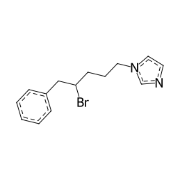 BrC(CCCn1ccnc1)Cc1ccccc1